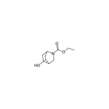 CCOC(=O)N1CC2CCC1CC2O